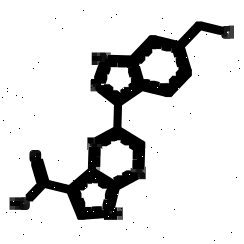 O=C(O)c1c[nH]c2ncc(-c3n[nH]c4cc(CCl)ccc34)nc12